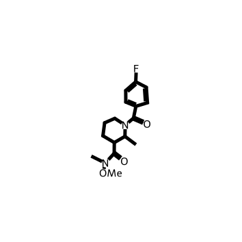 CON(C)C(=O)C1CCCN(C(=O)c2ccc(F)cc2)C1C